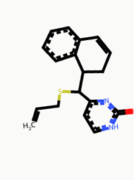 C=CCSC(c1cc[nH]c(=O)n1)C1CC=Cc2ccccc21